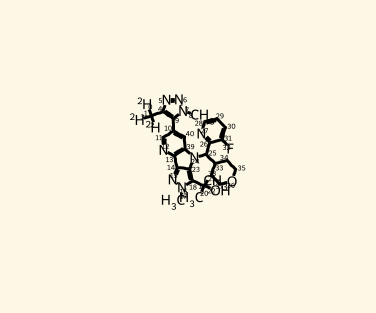 [2H]C([2H])([2H])c1nnn(C)c1-c1cnc2c3nn(C)c(C(C)(C)O)c3n(C(c3ncccc3F)C3CCOCC3)c2c1